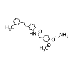 COc1cc(CC(=O)Nc2cccc(/C=C/c3cccc(C)c3)c2)ccc1OCCN